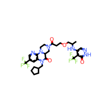 CC(COCCC(=O)N1CCN2c3ncc(C(F)(F)F)cc3N(CC3CCCC3)C(=O)C2C1)Nc1cn[nH]c(=O)c1C(F)(F)F